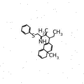 C=C(C(=N)CSc1ccccc1)C(CC)C1=CC2=CC=CCC2(C)C=C1